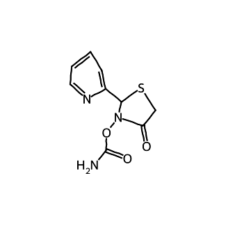 NC(=O)ON1C(=O)CSC1c1ccccn1